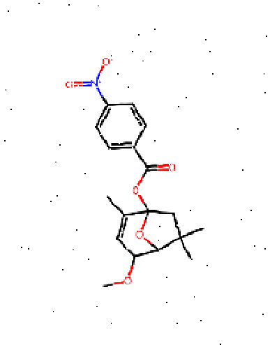 COC1C=C(C)C2(OC(=O)c3ccc([N+](=O)[O-])cc3)CC(C)(C)C1O2